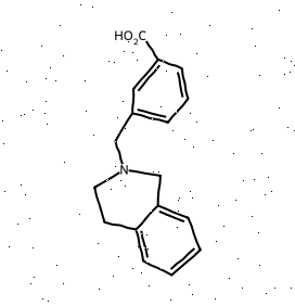 O=C(O)c1cccc(CN2CCc3ccccc3C2)c1